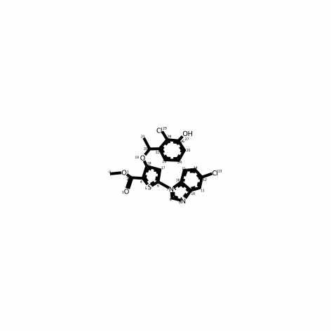 COC(=O)c1sc(-n2cnc3cc(Cl)ccc32)cc1OC(C)c1cccc(O)c1Cl